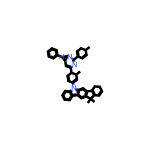 CC1C=CC(/C(N)=N/C(=C\C2=CC2c2ccccc2)C2C=CC(n3c4ccccc4c4cc5c(cc43)C3=C(C=CCC3)C5(C)C)=CC2C)=CC1